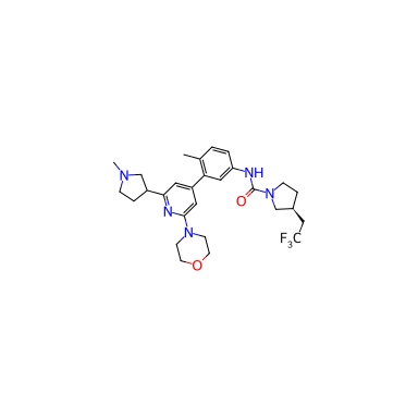 Cc1ccc(NC(=O)N2CC[C@@H](CC(F)(F)F)C2)cc1-c1cc(C2CCN(C)C2)nc(N2CCOCC2)c1